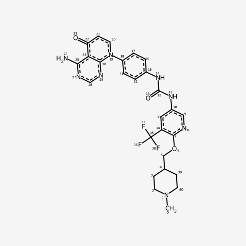 CN1CCC(COc2ncc(NC(=O)Nc3ccc(-n4ccc(=O)c5c(N)ncnc54)cc3)cc2C(F)(F)F)CC1